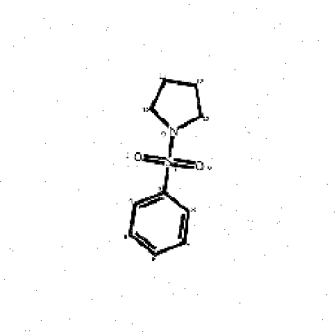 O=S(=O)(c1cc[c]cc1)N1CCCC1